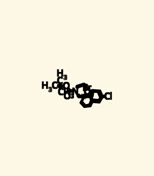 CC(C)(C)OC(=O)N1CCO[C@@]2(CCCc3cc(Cl)cc(Br)c32)C1